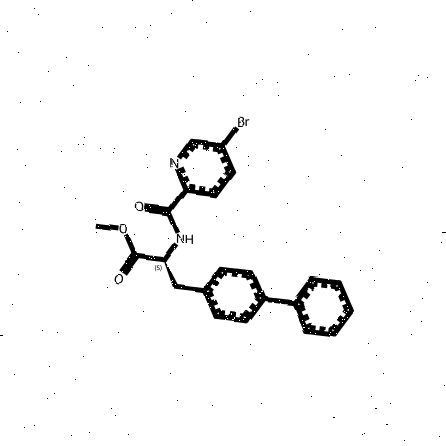 COC(=O)[C@H](Cc1ccc(-c2ccccc2)cc1)NC(=O)c1ccc(Br)cn1